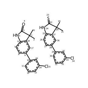 CC1(C)C(=O)Nc2ccc(-c3cccc(Cl)c3)cc21.CC1(C)C(=S)Nc2ccc(-c3cccc(Cl)c3)cc21